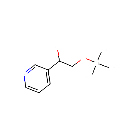 CC(C)[Si](OCC(O)c1cccnc1)(C(C)C)C(C)C